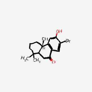 CC(C)c1cc2c(cc1O)[C@@]1(C)CCCC(C)(C)C1CC2=O